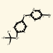 FC(F)(F)Oc1ccc(Oc2ccc(Br)cn2)cc1